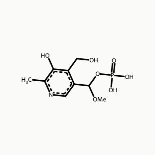 COC(OP(=O)(O)O)c1cnc(C)c(O)c1CO